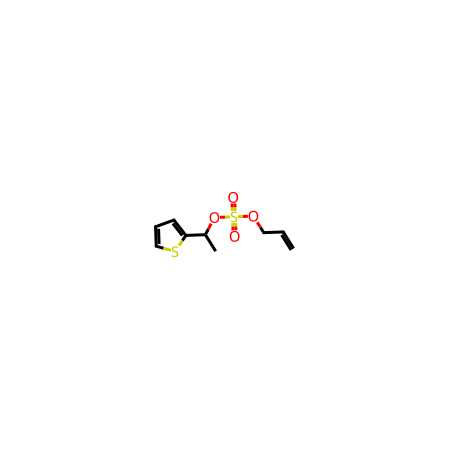 C=CCOS(=O)(=O)OC(C)c1cccs1